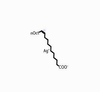 CCCCCCCC/C=C\CCCCCCCCCC(=O)[O-].[Ag+]